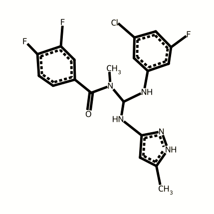 Cc1cc(NC(Nc2cc(F)cc(Cl)c2)N(C)C(=O)c2ccc(F)c(F)c2)n[nH]1